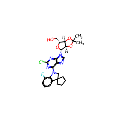 CC1(C)O[C@@H]2[C@H](O1)[C@@H](CO)O[C@H]2n1cnc2c(N3CC4(CCCC4)c4cccc(F)c43)nc(Cl)nc21